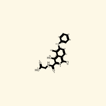 O=C(O)CNC(=O)c1nc(Cl)c2ccc(Sc3ccccc3)c(I)c2c1O